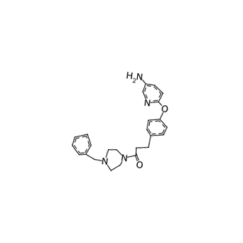 Nc1ccc(Oc2ccc(CCC(=O)N3CCN(Cc4ccccc4)CC3)cc2)nc1